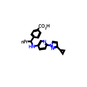 CCCC(Nc1ccc(-n2ccc(C3CC3)n2)nc1)c1ccc(C(=O)O)cc1